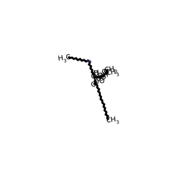 CCCCCCCCCC/C=C\CCCCCC(=O)O[C@H](COC(=O)CCCCCCCCCCCCCCCCCCC)COP(=O)(O)OCC[N+](C)(C)C